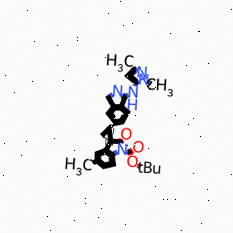 Cc1ccc2c(c1)[C@]1(C[C@H]1c1ccc3c(c1)CN=C3Nc1cc(C)nn1C)C(=O)N2C(=O)OC(C)(C)C